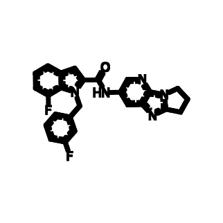 O=C(Nc1cnc2c(c1)nc1n2CCC1)c1cc2cccc(F)c2n1Cc1cccc(F)c1